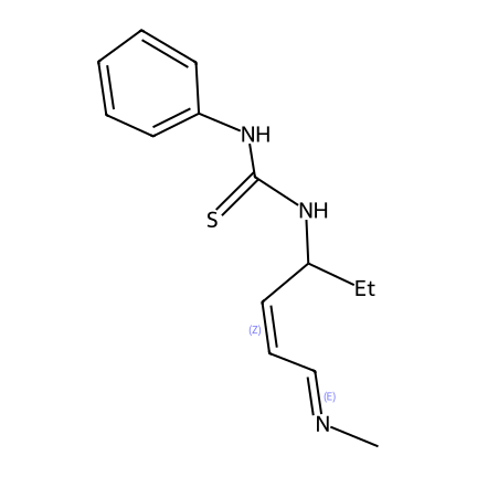 CCC(/C=C\C=N\C)NC(=S)Nc1ccccc1